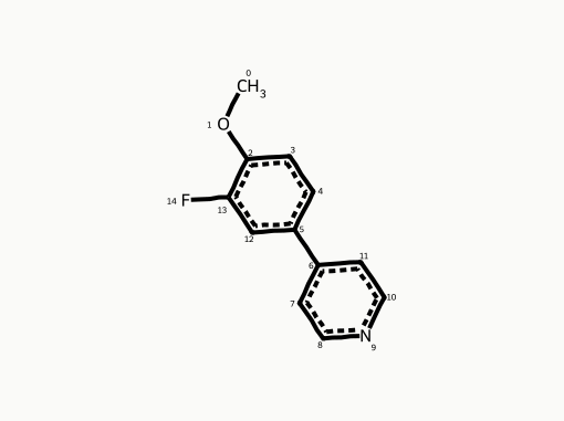 COc1ccc(-c2ccncc2)cc1F